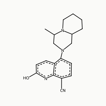 CC1CN(c2ccc(C#N)c3nc(O)ccc23)CC2CCCCN12